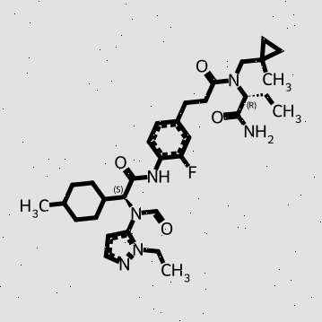 CC[C@H](C(N)=O)N(CC1(C)CC1)C(=O)CCc1ccc(NC(=O)[C@H](C2CCC(C)CC2)N(C=O)c2ccnn2CC)c(F)c1